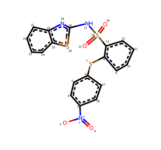 O=[N+]([O-])c1ccc(Sc2ccccc2S(=O)(=O)Nc2nc3ccccc3s2)cc1